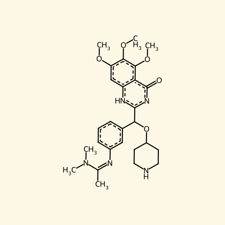 COc1cc2[nH]c(C(OC3CCNCC3)c3cccc(N=C(C)N(C)C)c3)nc(=O)c2c(OC)c1OC